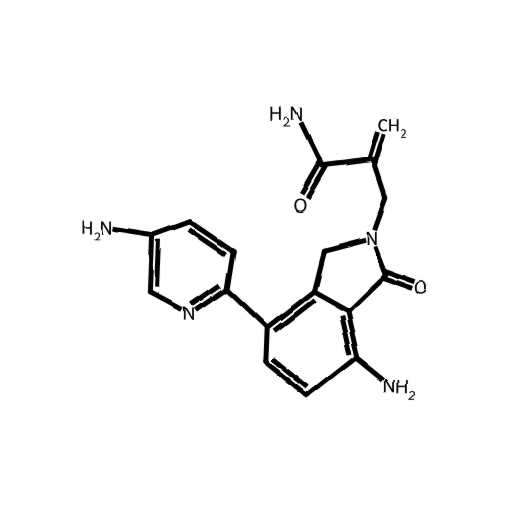 C=C(CN1Cc2c(-c3ccc(N)cn3)ccc(N)c2C1=O)C(N)=O